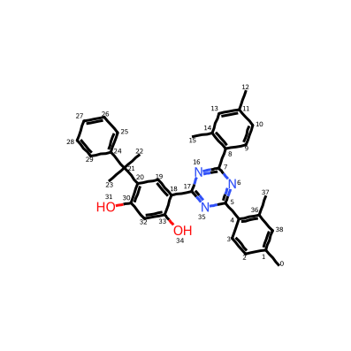 Cc1ccc(-c2nc(-c3ccc(C)cc3C)nc(-c3cc(C(C)(C)c4ccccc4)c(O)cc3O)n2)c(C)c1